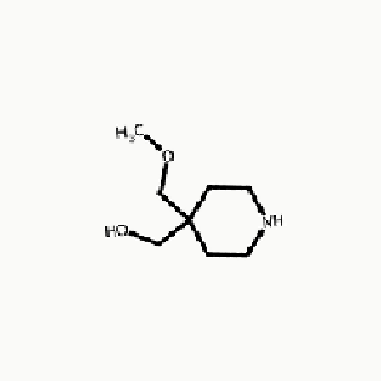 COCC1(CO)CCNCC1